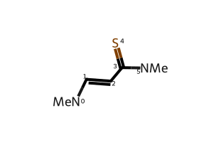 CNC=CC(=S)NC